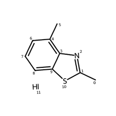 Cc1nc2c(C)cccc2s1.I